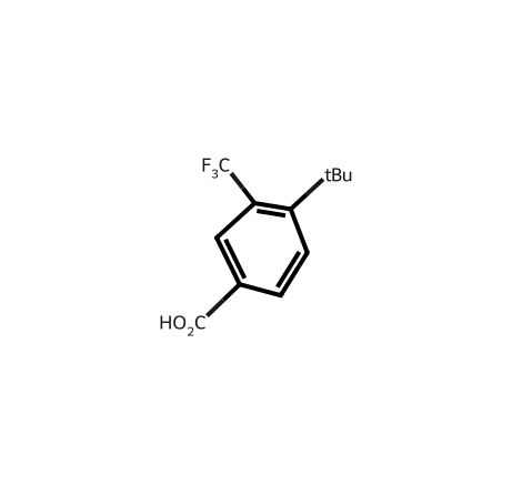 CC(C)(C)c1ccc(C(=O)O)cc1C(F)(F)F